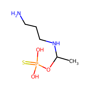 CC(NCCCN)OP(O)(O)=S